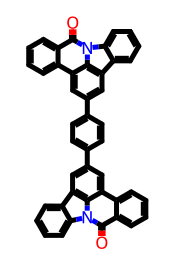 O=c1c2ccccc2c2cc(-c3ccc(-c4cc5c6ccccc6c(=O)n6c7ccccc7c(c4)c56)cc3)cc3c4ccccc4n1c23